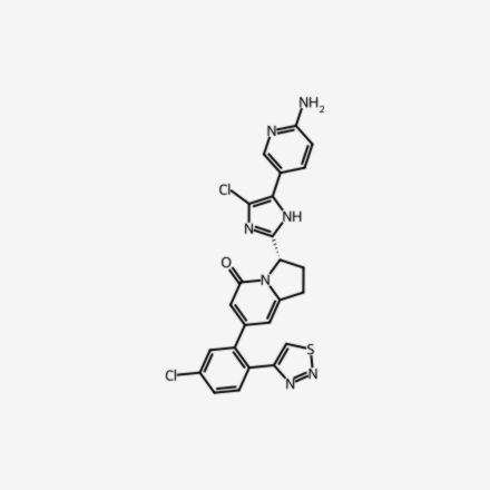 Nc1ccc(-c2[nH]c([C@@H]3CCc4cc(-c5cc(Cl)ccc5-c5csnn5)cc(=O)n43)nc2Cl)cn1